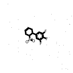 O=[N+]([O-])C1CC=CCC1c1cc(F)c(F)c(F)c1